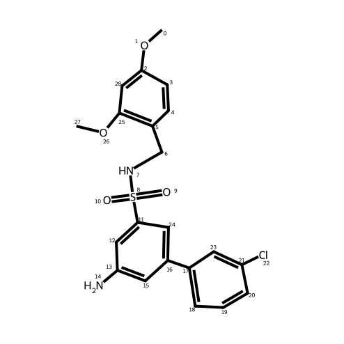 COc1ccc(CNS(=O)(=O)c2cc(N)cc(-c3cccc(Cl)c3)c2)c(OC)c1